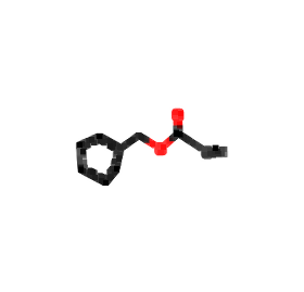 CC(=O)OC(=O)OCc1ccccc1